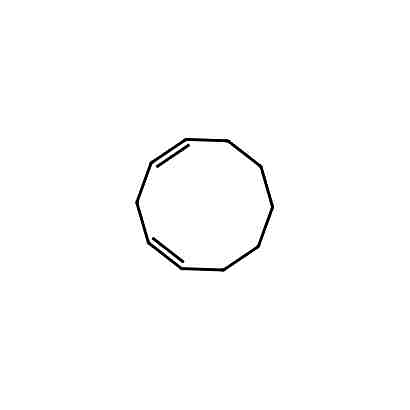 C1=CCCCCCC=CC1